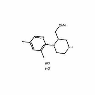 COCC1CNCCN1c1ncc(C)cc1C.Cl.Cl